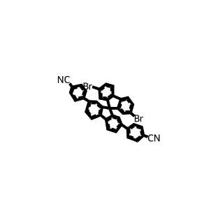 N#Cc1ccc(-c2ccc3c(c2)C2(c4cc(Br)ccc4-c4ccc(Br)cc42)c2cc(-c4ccc(C#N)cc4)ccc2-3)cc1